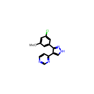 COc1cc(Cl)cc(-c2n[nH]cc2-c2ccncn2)c1